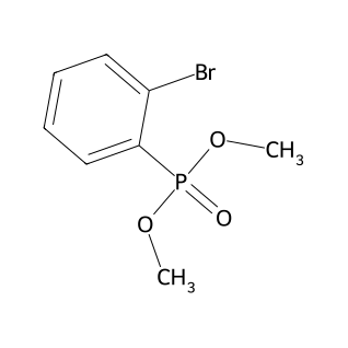 COP(=O)(OC)c1ccccc1Br